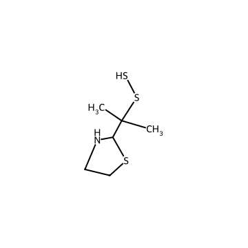 CC(C)(SS)C1NCCS1